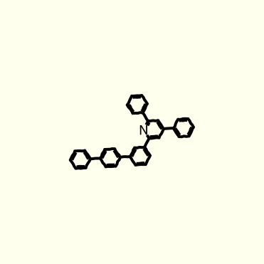 c1ccc(-c2ccc(-c3cccc(-c4cc(-c5ccccc5)cc(-c5ccccc5)n4)c3)cc2)cc1